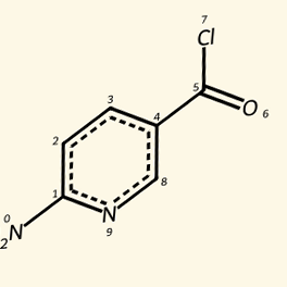 Nc1ccc(C(=O)Cl)cn1